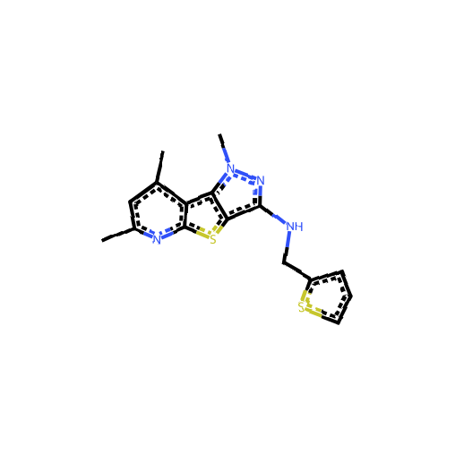 Cc1cc(C)c2c(n1)sc1c(NCc3cccs3)nn(C)c12